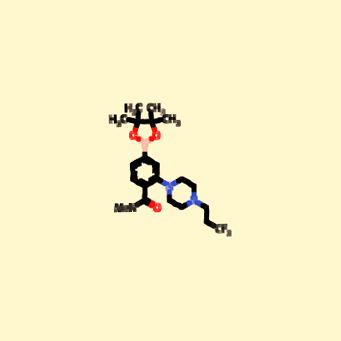 CNC(=O)c1ccc(B2OC(C)(C)C(C)(C)O2)cc1N1CCN(CCC(F)(F)F)CC1